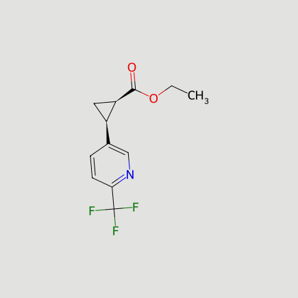 CCOC(=O)[C@@H]1C[C@@H]1c1ccc(C(F)(F)F)nc1